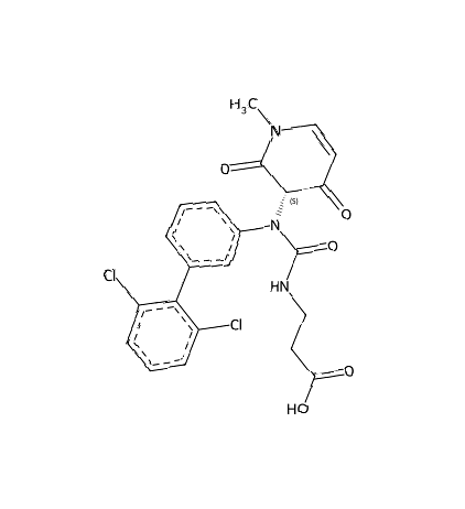 CN1C=CC(=O)[C@H](N(C(=O)NCCC(=O)O)c2cccc(-c3c(Cl)cccc3Cl)c2)C1=O